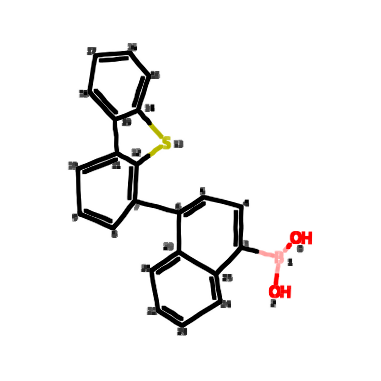 OB(O)c1ccc(-c2cccc3c2sc2ccccc23)c2ccccc12